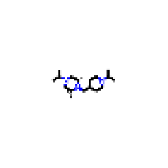 CC(C)N1CCC(CN2[C@@H](C)CN(C(C)C)C[C@@H]2C)CC1